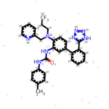 Cc1ccc(NC(=O)Nc2cc(-c3ccccc3-c3nnn[nH]3)ccc2N(CCC(F)(F)F)Cc2ccccn2)cc1